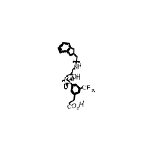 CN(C[C@H](O)CNC(C)(C)CC1Cc2ccccc2C1)S(=O)(=O)c1cc(CCC(=O)O)cc(C(F)(F)F)c1